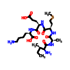 CC[C@H](C)[C@H](N)C(=O)N[C@@H](C)C(=O)N[C@@H](CCSC)C(=O)N[C@@H](CCC(=O)O)C(=O)N[C@@H](CCCCN)C(=O)O